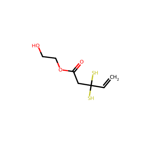 C=CC(S)(S)CC(=O)OCCO